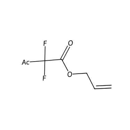 C=CCOC(=O)C(F)(F)C(C)=O